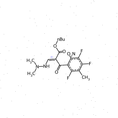 CCCCOC(=O)/C(=C/NN(C)C)C(=O)c1c(F)c(C)c(F)c(F)c1[N+](=O)[O-]